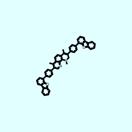 CC1=C(c2ccc(-c3cccc4c3oc3ccccc34)cc2)CN(C)c2c1ccc1c(C)c(-c3ccc(-c4cccc5c4oc4ccccc45)cc3)cnc21